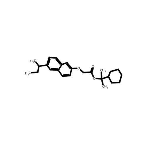 CCC(C)c1ccc2cc(OCC(=O)OC(C)(C)C3CCCCC3)ccc2c1